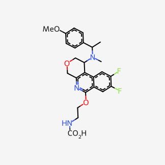 COc1ccc(C(C)N(C)C2COCc3nc(OCCNC(=O)O)c4cc(F)c(F)cc4c32)cc1